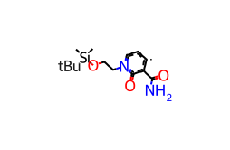 CC(C)(C)[Si](C)(C)OCCn1cc[c]c(C(N)=O)c1=O